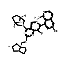 Cc1nccc2cc(O)cc(-c3ncc4c(N5C[C@H]6CC[C@@H](C5)N6)nc(OC[C@@]56CCCN5C[C@H](F)C6)nc4c3F)c12